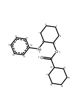 O=C(OC1CCCCC1[Se]c1ccccc1)C1CCCCC1